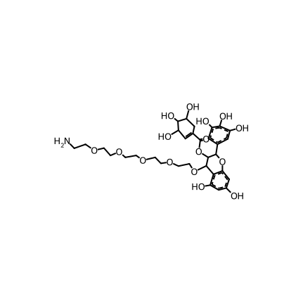 NCCOCCOCCOCCOCCOC1c2c(O)cc(O)cc2OC(c2cc(O)c(O)c(O)c2)C1OC(=O)C1=CC(O)C(O)C(O)C1